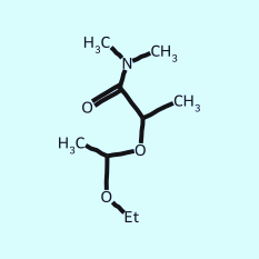 CCOC(C)OC(C)C(=O)N(C)C